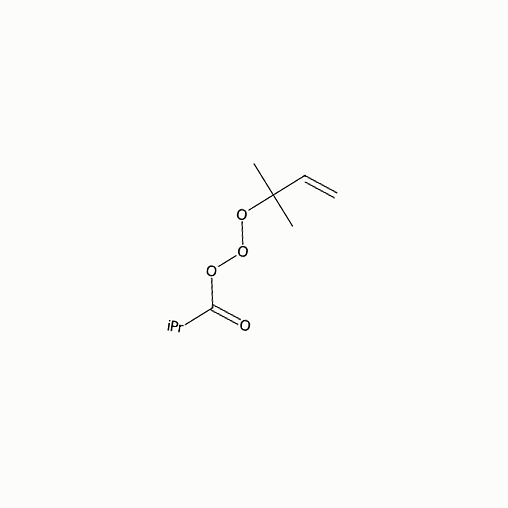 C=CC(C)(C)OOOC(=O)C(C)C